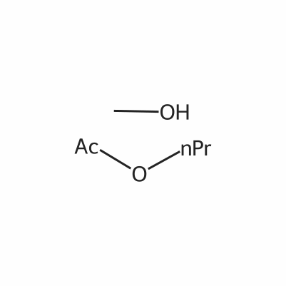 CCCOC(C)=O.CO